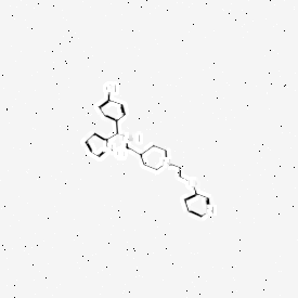 O=C(N[C@@H](c1ccc(Cl)cc1)c1ccccn1)C1CCN(CCOc2cccnc2)CC1